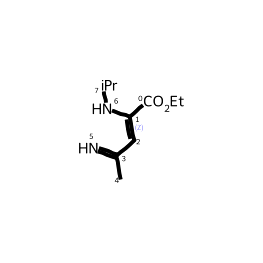 CCOC(=O)/C(=C/C(C)=N)NC(C)C